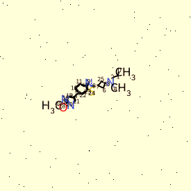 CCCN(C)[C@H]1C[C@H](c2nc3ccc(-c4cnc(OC)nc4)cc3s2)C1